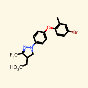 Cc1cc(Br)ccc1Oc1ccc(N2CC(CC(=O)O)C(C(F)(F)F)=N2)cc1